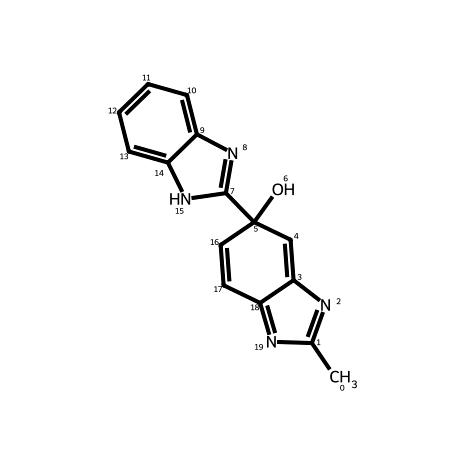 CC1=NC2=CC(O)(c3nc4ccccc4[nH]3)C=CC2=N1